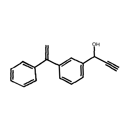 C#CC(O)c1cccc(C(=C)c2ccccc2)c1